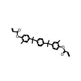 C=CC(=O)Oc1ccc(C(C)(C)c2ccc(C(C)(C)c3ccc(OC(=O)C=C)c(C)c3)cc2)cc1C